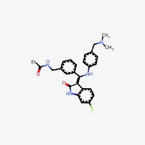 CCC(=O)NCc1cccc(C(Nc2ccc(CN(C)C)cc2)=C2C(=O)Nc3cc(F)ccc32)c1